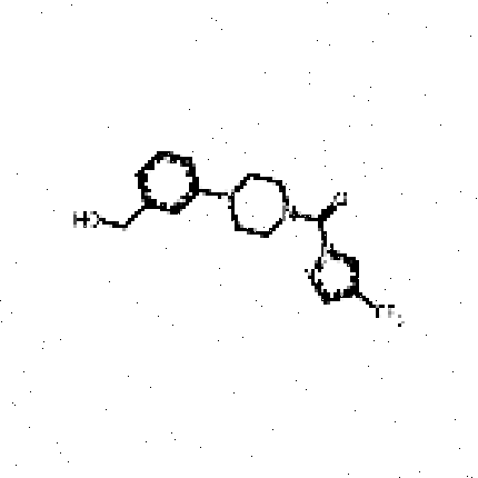 O=C(N1CCN(c2cccc(CO)c2)CC1)n1cc(C(F)(F)F)cn1